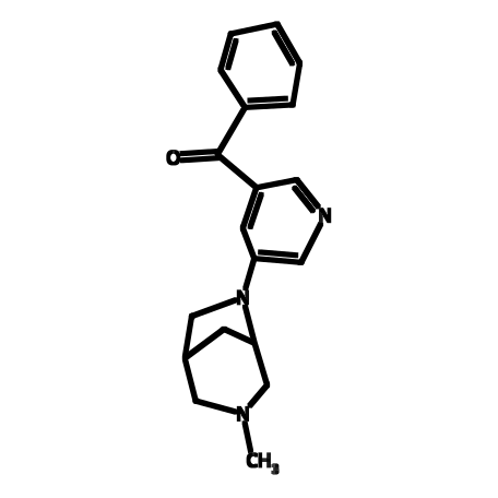 CN1CC2CC(C1)N(c1cncc(C(=O)c3ccccc3)c1)C2